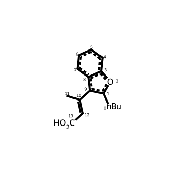 CCCCc1oc2ccccc2c1/C(C)=C/C(=O)O